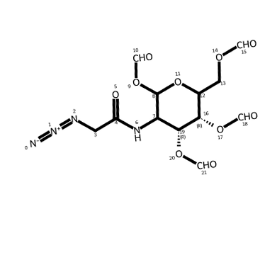 [N-]=[N+]=NCC(=O)NC1C(OC=O)OC(COC=O)[C@H](OC=O)[C@@H]1OC=O